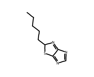 CCCCCC1N=C2N=CN=C2S1